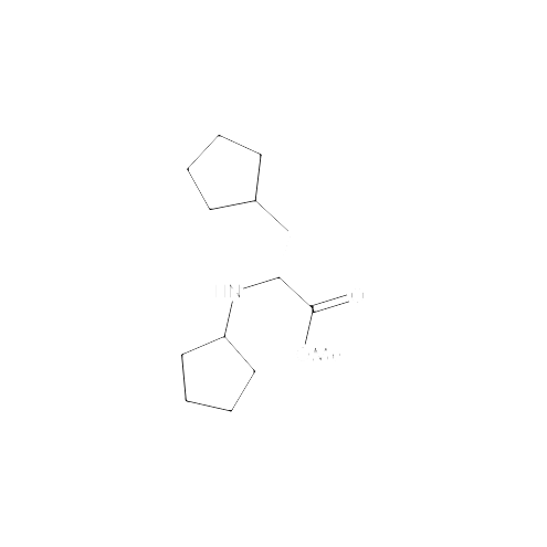 COC(=O)[C@@H](CC1CCCC1)NC1CCCC1